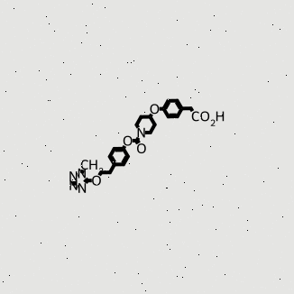 Cn1nnnc1OCCc1ccc(OC(=O)N2CCC(Oc3ccc(CC(=O)O)cc3)CC2)cc1